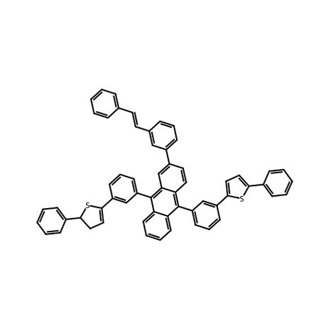 C1=C(c2cccc(-c3c4ccccc4c(-c4cccc(-c5ccc(-c6ccccc6)s5)c4)c4ccc(-c5cccc(/C=C/c6ccccc6)c5)cc34)c2)SC(c2ccccc2)C1